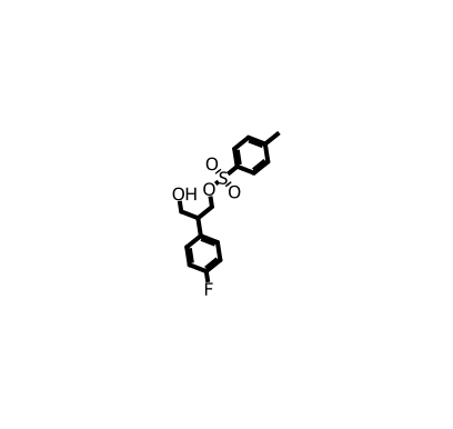 Cc1ccc(S(=O)(=O)OCC(CO)c2ccc(F)cc2)cc1